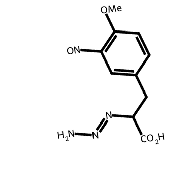 COc1ccc(CC(N=NN)C(=O)O)cc1N=O